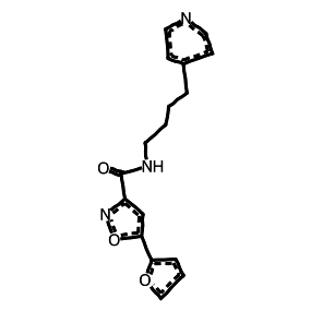 O=C(NCCCCc1ccncc1)c1cc(-c2ccco2)on1